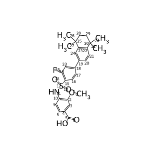 COc1cc(C(=O)O)ccc1NS(=O)(=O)c1ccc(-c2ccc3c(c2)C(C)(C)CCC3(C)C)cc1F